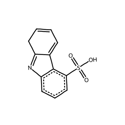 O=S(=O)(O)c1cccc2c1C1=CC=CCC1=N2